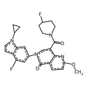 COc1ccc2c(=O)n(-c3cc(F)c4ccn(C5CC5)c4c3)cc(C(=O)N3CCC(F)CC3)c2n1